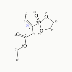 C/C=C(/CC(=O)OCC)P1(=O)OCCO1